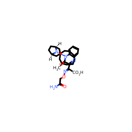 C[C@@H]1CCCCCC[C@@H](N2[C@@H]3CC[C@H]2C[C@@H](n2c(=O)c(/C(=N/OCC(N)=O)C(=O)O)nc4ccccc42)C3)C1